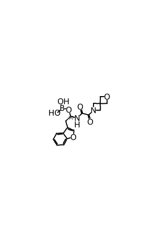 O=C(N[C@@H](Cc1coc2ccccc12)OB(O)O)C(=O)N1CC2(COC2)C1